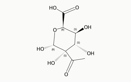 CC(=O)[C@@]1(O)[C@H](O)O[C@@H](C(=O)O)[C@@H](O)[C@@H]1O